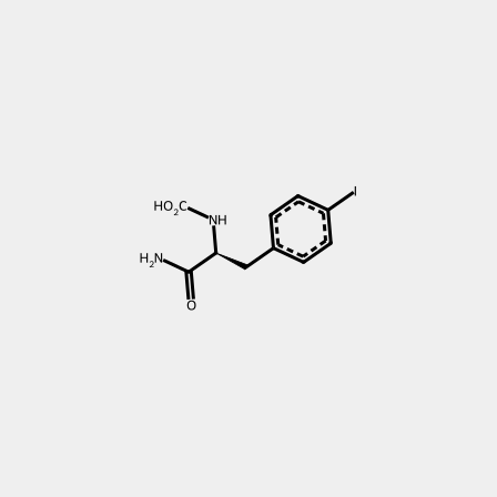 NC(=O)[C@H](Cc1ccc(I)cc1)NC(=O)O